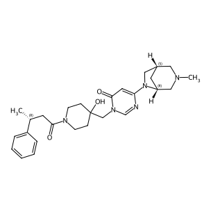 C[C@H](CC(=O)N1CCC(O)(Cn2cnc(N3C[C@H]4C[C@@H]3CN(C)C4)cc2=O)CC1)c1ccccc1